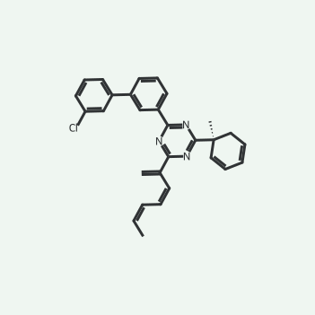 C=C(/C=C\C=C/C)c1nc(-c2cccc(-c3cccc(Cl)c3)c2)nc([C@]2(C)C=CC=CC2)n1